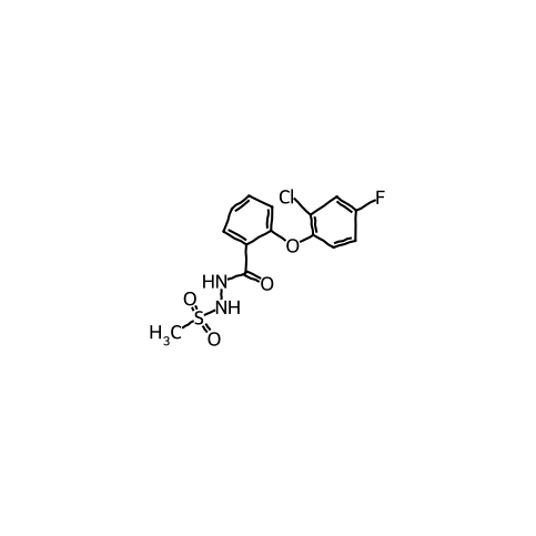 CS(=O)(=O)NNC(=O)c1ccccc1Oc1ccc(F)cc1Cl